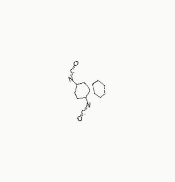 C1CCCCC1.O=C=NC1CCC(N=C=O)CC1